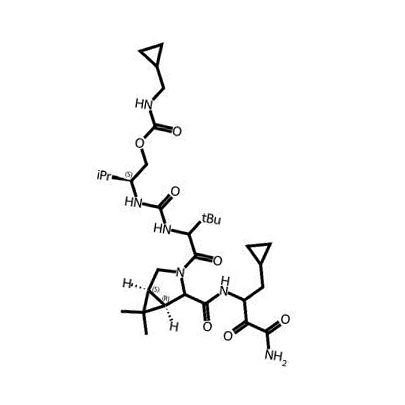 CC(C)[C@@H](COC(=O)NCC1CC1)NC(=O)NC(C(=O)N1C[C@H]2[C@@H](C1C(=O)NC(CC1CC1)C(=O)C(N)=O)C2(C)C)C(C)(C)C